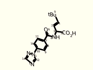 CC(C)(C)/C=C/C(NC(=O)c1ccc(-n2cncn2)cc1)C(=O)O